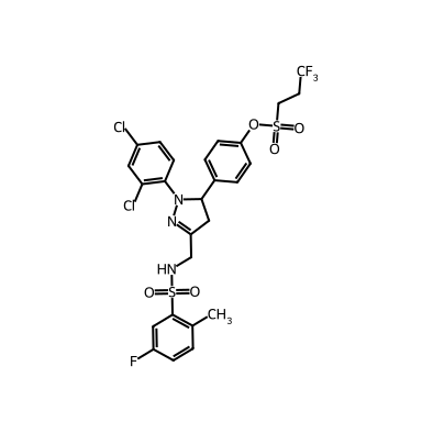 Cc1ccc(F)cc1S(=O)(=O)NCC1=NN(c2ccc(Cl)cc2Cl)C(c2ccc(OS(=O)(=O)CCC(F)(F)F)cc2)C1